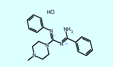 CN1CCN(C(/N=C(\N)c2ccccc2)=N\c2ccccc2)CC1.Cl